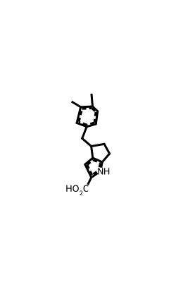 Cc1ccc(CC2CCc3[nH]c(C(=O)O)cc32)cc1C